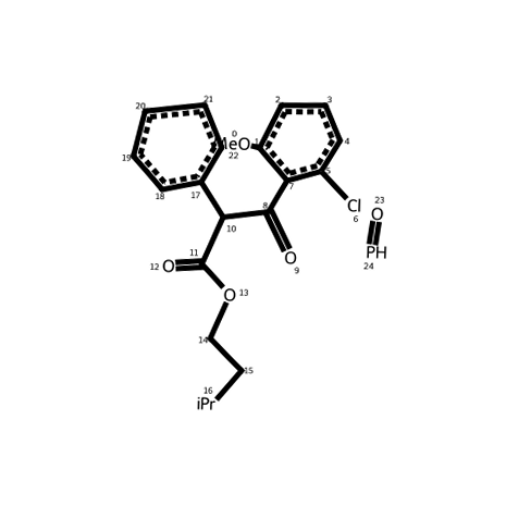 COc1cccc(Cl)c1C(=O)C(C(=O)OCCC(C)C)c1ccccc1.O=P